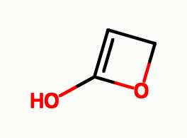 OC1=CCO1